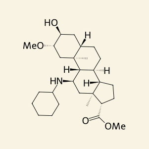 COC(=O)[C@H]1CC[C@H]2[C@@H]3CC[C@H]4C[C@H](O)[C@@H](OC)C[C@]4(C)[C@H]3[C@H](NC3CCCCC3)C[C@]12C